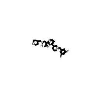 Cc1nn2c(C3CCCN(Cc4cc(F)cc(F)c4)C3)ccnc2c1CNCC1CCOCC1